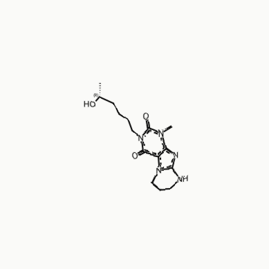 C[C@@H](O)CCCCn1c(=O)c2c(nc3n2CCCN3)n(C)c1=O